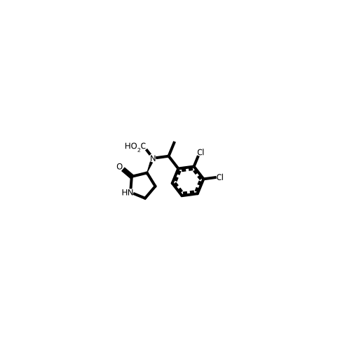 CC(c1cccc(Cl)c1Cl)N(C(=O)O)[C@H]1CCNC1=O